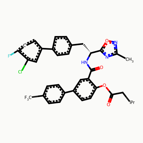 Cc1noc([C@@H](Cc2ccc(-c3ccc(F)c(Cl)c3)cc2)NC(=O)c2cc(-c3ccc(C(F)(F)F)cc3)ccc2OC(=O)CC(C)C)n1